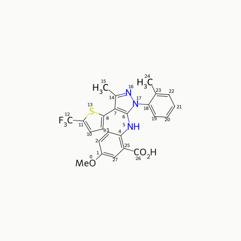 COc1ccc(Nc2c(-c3ccc(C(F)(F)F)s3)c(C)nn2-c2ccccc2C)c(C(=O)O)c1